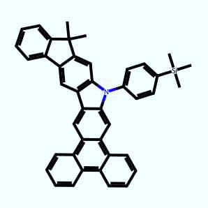 CC1(C)c2ccccc2-c2cc3c4cc5c6ccccc6c6ccccc6c5cc4n(-c4ccc([Si](C)(C)C)cc4)c3cc21